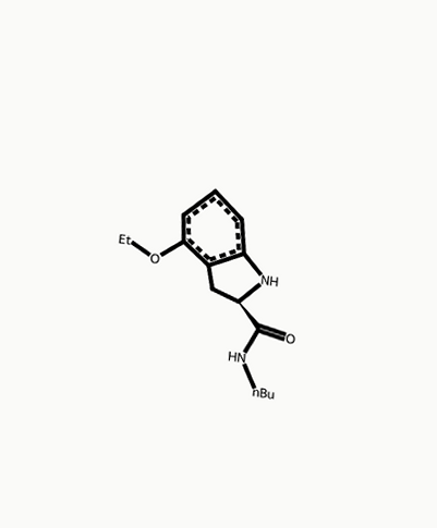 CCCCNC(=O)[C@H]1Cc2c(cccc2OCC)N1